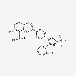 O=C(Nc1c(Cl)ccc(Cl)c1C(=O)O)c1ccc(-c2cc(C(F)(F)F)nn2-c2ccccc2Cl)cc1